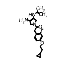 C=C(C)NC1=C(N)CN(C(=O)Cc2ccc(OCCC3CC3)cc2F)C1